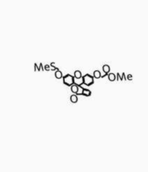 COC(=O)COc1ccc2c(c1)Oc1cc(OCSC)ccc1C21OC(=O)c2ccccc21